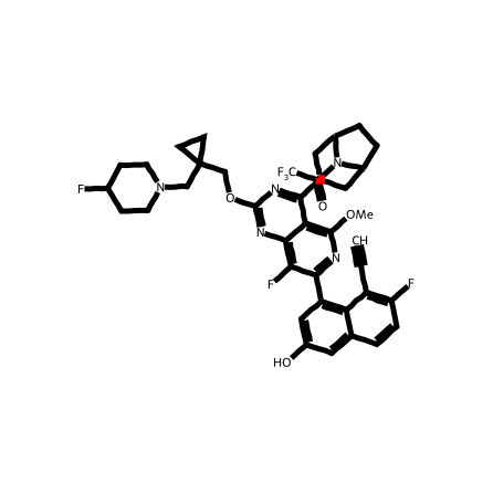 C#Cc1c(F)ccc2cc(O)cc(-c3nc(OC)c4c(N5CC6CCC(C5)N6C(=O)C(F)(F)F)nc(OCC5(CN6CCC(F)CC6)CC5)nc4c3F)c12